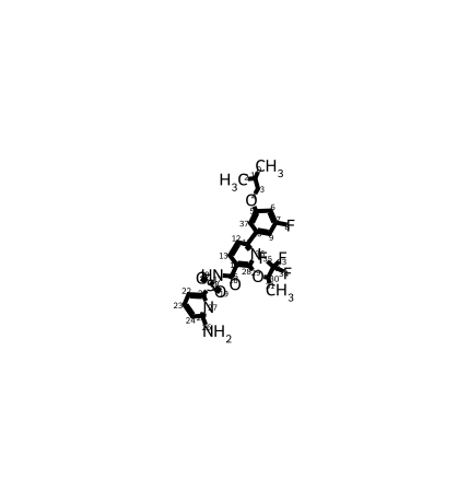 CC(C)COc1cc(F)cc(-c2ccc(C(=O)NS(=O)(=O)c3cccc(N)n3)c(OC(C)C(F)(F)F)n2)c1